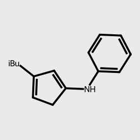 CCC(C)C1=CCC(Nc2ccccc2)=C1